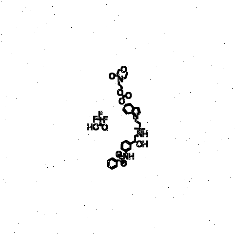 CC(C)(CCn1ccc2cc(OC(=O)OCCN3CCOCC3=O)ccc21)NC[C@H](O)c1cccc(NS(=O)(=O)c2ccccc2)c1.O=C(O)C(F)(F)F